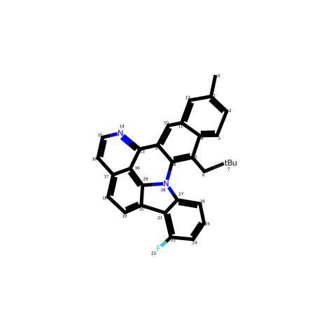 Cc1ccc2c(CC(C)(C)C)c3c(cc2c1)c1nccc2ccc4c5c(F)cccc5n3c4c21